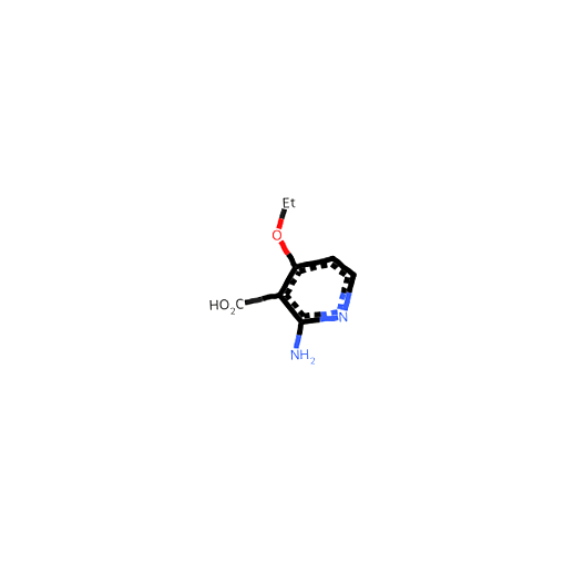 CCOc1ccnc(N)c1C(=O)O